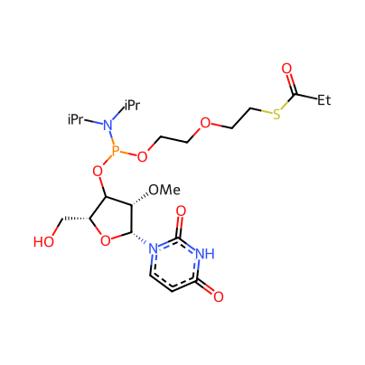 CCC(=O)SCCOCCOP(OC1[C@@H](CO)O[C@@H](n2ccc(=O)[nH]c2=O)[C@H]1OC)N(C(C)C)C(C)C